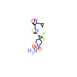 NS(=O)(=O)N1CCC2(CC1)[C@H](c1csc(-c3conc3C3CC3)n1)C2(F)F